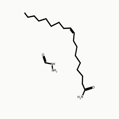 CCCCCCCC/C=C\CCCCCCCC(N)=O.NNC=O